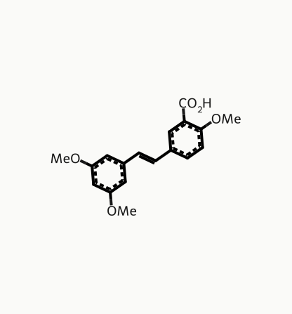 COc1cc(C=Cc2ccc(OC)c(C(=O)O)c2)cc(OC)c1